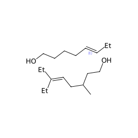 CC/C=C/CCCCO.CCC(=CCC(C)CCO)CC